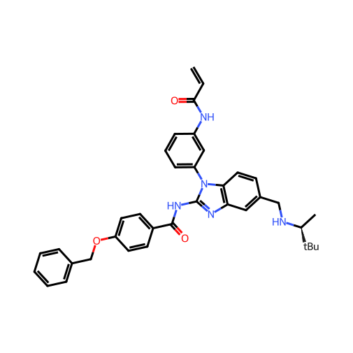 C=CC(=O)Nc1cccc(-n2c(NC(=O)c3ccc(OCc4ccccc4)cc3)nc3cc(CN[C@@H](C)C(C)(C)C)ccc32)c1